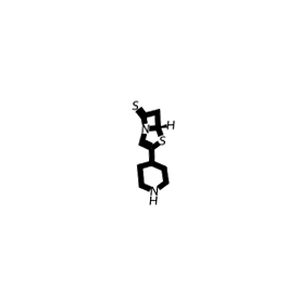 S=C1C[C@@H]2SC(C3CCNCC3)=CN12